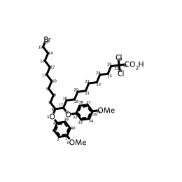 COc1ccc(OC(CCCCCCCCCBr)C(CCCCCCCCCC(Cl)(Cl)C(=O)O)Oc2ccc(OC)cc2)cc1